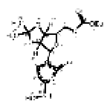 CC(C)COC(=O)OC[C@H]1O[C@@H](n2ccc(NO)nc2=O)[C@@H]2OC(C)(C)O[C@@H]21